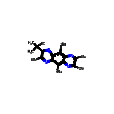 CCC(C)(C)c1nc2c(C(C)(C)C)c3nc(C(C)(C)C)c(C(C)(C)C)nc3c(C(C)(C)C)c2nc1C(C)(C)C